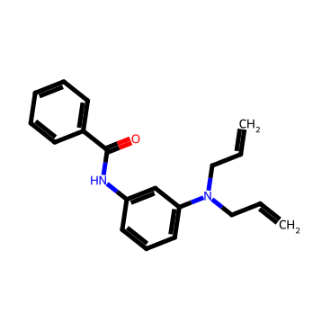 C=CCN(CC=C)c1cccc(NC(=O)c2ccccc2)c1